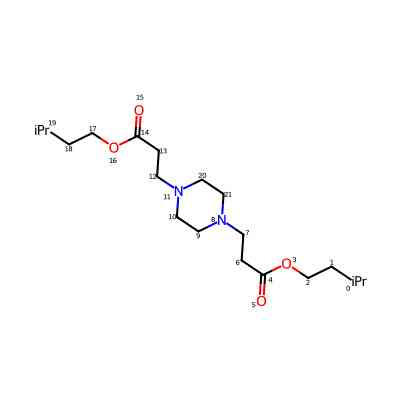 CC(C)CCOC(=O)CCN1CCN(CCC(=O)OCCC(C)C)CC1